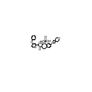 O=C(NC1CCc2ccc(N3CC4(CCOCC4)C3)cc2N(C(O)(O)O)C1=O)c1cc(Oc2ccccc2)ccn1